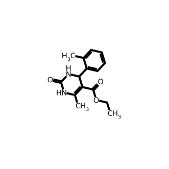 CCOC(=O)C1=C(C)NC(=O)NC1c1ccccc1C